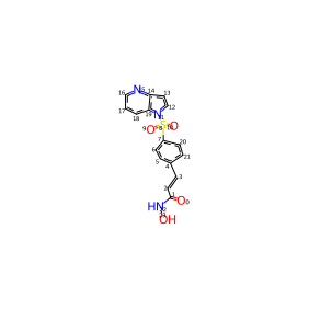 O=C(C=Cc1ccc(S(=O)(=O)n2ccc3ncccc32)cc1)NO